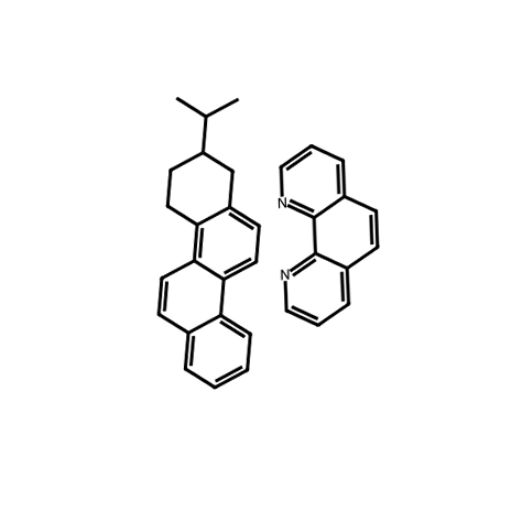 CC(C)C1CCc2c(ccc3c2ccc2ccccc23)C1.c1cnc2c(c1)ccc1cccnc12